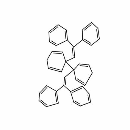 C1=CC(C=C(c2ccccc2)c2ccccc2)(C2(C=C(c3ccccc3)c3ccccc3)C=CCC=C2)C=CC1